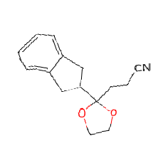 N#CCCC1(C2Cc3ccccc3C2)OCCO1